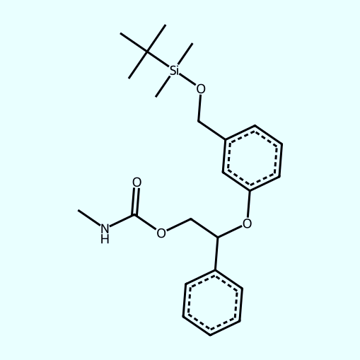 CNC(=O)OCC(Oc1cccc(CO[Si](C)(C)C(C)(C)C)c1)c1ccccc1